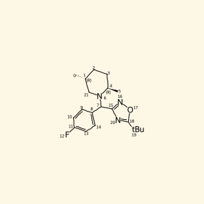 C[C@@H]1CC[C@@H](C)N(C(c2ccc(F)cc2)c2noc(C(C)(C)C)n2)C1